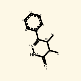 CC1C(=O)NN=C(c2ccccc2)C1C